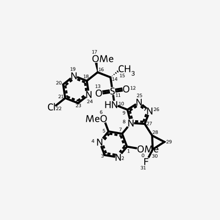 COc1ncnc(OC)c1-n1c(NS(=O)(=O)[C@@H](C)[C@H](OC)c2ncc(Cl)cn2)nnc1C1CC1F